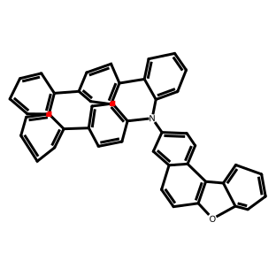 c1ccc(-c2ccc(-c3ccccc3N(c3ccc(-c4ccccc4)cc3)c3ccc4c(ccc5oc6ccccc6c54)c3)cc2)cc1